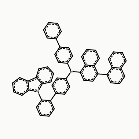 c1ccc(-c2ccc(N(c3ccc(-c4ccccc4-n4c5ccccc5c5ccccc54)cc3)c3ccc(-c4cccc5ccccc45)c4ccccc34)cc2)cc1